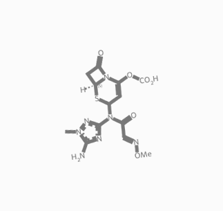 CON=CC(=O)N(c1nc(N)n(C)n1)C1C=C(OC(=O)O)N2C(=O)C[C@@H]2S1